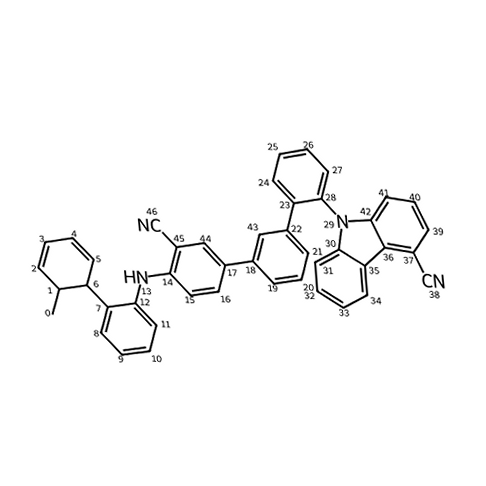 CC1C=CC=CC1c1ccccc1Nc1ccc(-c2cccc(-c3ccccc3-n3c4ccccc4c4c(C#N)cccc43)c2)cc1C#N